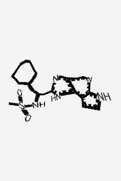 CS(=O)(=O)NC(c1nc2cnc3[nH]ccc3c2[nH]1)C1CCCCC1